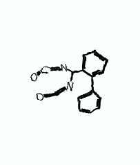 O=C=NC(N=C=O)c1ccccc1-c1ccccc1